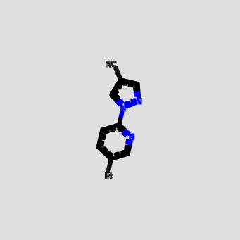 CCc1ccc(-n2cc(C#N)cn2)nc1